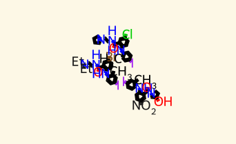 CCN(CC)CCNC(=O)c1cc(Br)ccc1Nc1ccc(I)cc1C.Cc1cc(I)ccc1Nc1ccc(Cl)cc1C(=O)NCCN1CCCC1.Cc1cc(I)ccc1Nc1ccc([N+](=O)[O-])cc1C(=O)N1CCC(O)C1